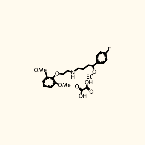 CCOC(CCCNCCOc1c(OC)cccc1OC)c1ccc(F)cc1.O=C(O)C(=O)O